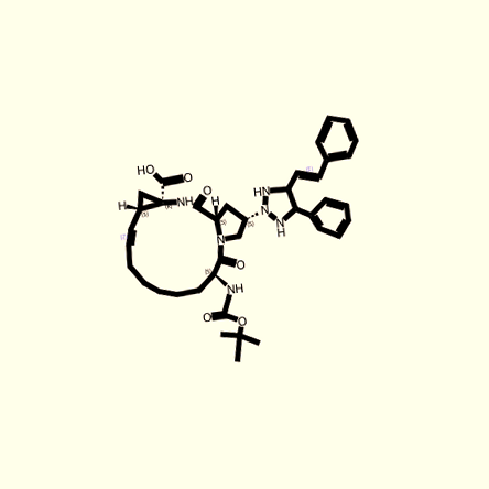 CC(C)(C)OC(=O)N[C@H]1CCCCC/C=C\[C@@H]2C[C@@]2(C(=O)O)NC(=O)[C@@H]2C[C@H](N3NC(/C=C/c4ccccc4)C(c4ccccc4)N3)CN2C1=O